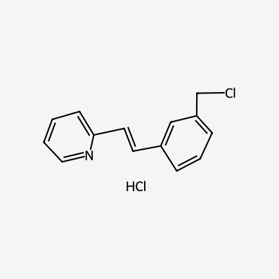 Cl.ClCc1cccc(C=Cc2ccccn2)c1